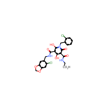 O=C(O)CNC(=O)c1c(O)c(C(=O)NCc2cc3c(cc2Cl)OCO3)c(O)n(Cc2ccccc2Cl)c1=O